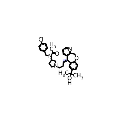 CC(=O)N(Cc1ccc(Cl)cc1)C1CCN(CC/C=C2\c3cc(C(C)(C)O)ccc3OCc3ncccc32)C1